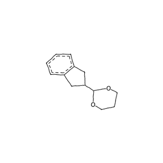 c1ccc2c(c1)CC(C1OCCCO1)C2